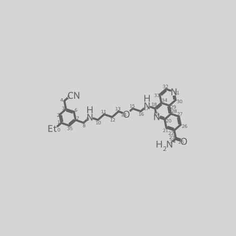 CCc1cc(CC#N)cc(CNCCCCOCCNc2nc3cc(C(N)=O)ccc3c3cnccc23)c1